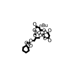 CCCCC1C(=O)OB(OC(COB2OC(=O)CC(=O)O2)COB2OC3CCCCC3O2)OC1=O